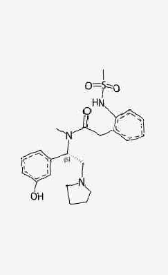 CN(C(=O)Cc1ccccc1NS(C)(=O)=O)[C@H](CN1CCCC1)c1cccc(O)c1